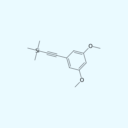 COc1cc(C#C[Si](C)(C)C)cc(OC)c1